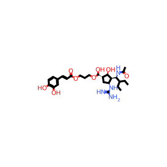 CCC(CC)[C@H](NC(C)=O)[C@@H]1[C@H](O)[C@@H](C(O)OCCCOC(=O)/C=C/c2ccc(O)c(O)c2)C[C@H]1NC(=N)N